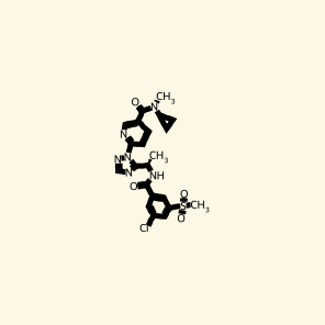 C[C@@H](NC(=O)c1cc(Cl)cc(S(C)(=O)=O)c1)c1ncnn1-c1ccc(C(=O)N(C)C2CC2)cn1